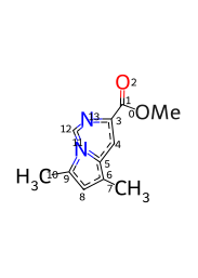 COC(=O)c1cc2c(C)cc(C)n2cn1